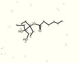 CCCCCC(=O)OC(CC)(CC)C(O)(CC)CO